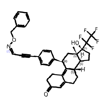 C[C@]12C[C@H](c3ccc(C#C/C=N\OCc4ccccc4)cc3)C3=C4CCC(=O)C=C4CC[C@H]3[C@@H]1CC[C@@]2(O)C(F)(F)C(F)(F)F